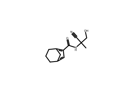 CC(C#N)(CO)NC(=O)C1=C2CCCC(=C1)C2